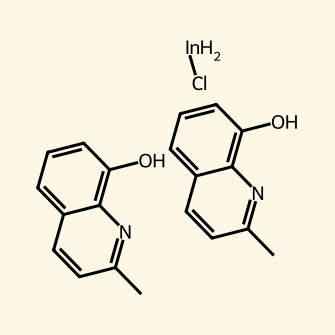 Cc1ccc2cccc(O)c2n1.Cc1ccc2cccc(O)c2n1.[Cl][InH2]